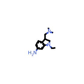 CCN1CC(CN(C)C)c2ccc(N)cc21